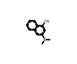 CB(C)c1cc(C#N)c2ccccc2c1